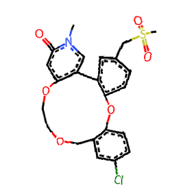 Cn1cc2c(cc1=O)OCCOCc1cc(Cl)ccc1Oc1ccc(CS(C)(=O)=O)cc1-2